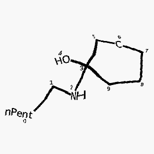 CCCCCCNC1(O)CCCCC1